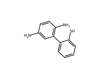 Nc1ccc(N)c(-c2ccccc2S)c1